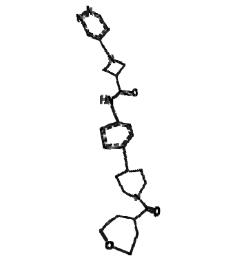 O=C(Nc1ccc(C2CCN(C(=O)C3CCOCC3)CC2)cc1)C1CN(c2ccnnc2)C1